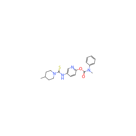 CC1CCN(C(=S)Nc2ccc(OC(=O)N(C)c3ccccc3)nc2)CC1